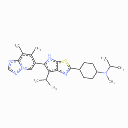 Cc1c(-c2[nH]c3sc(C4CCC(N(C)C(C)C)CC4)nc3c2C(C)C)cn2ncnc2c1C